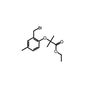 CCOC(=O)C(C)(C)Oc1ccc(C)cc1CBr